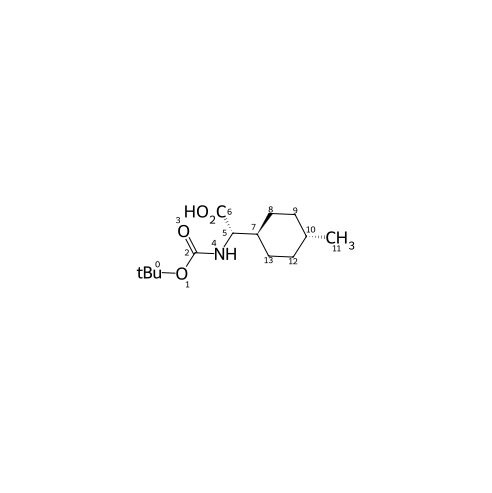 CC(C)(C)OC(=O)N[C@H](C(=O)O)[C@H]1CC[C@H](C)CC1